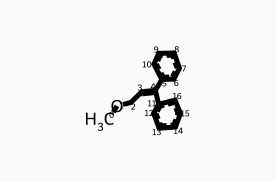 COC[C]=C(c1ccccc1)c1ccccc1